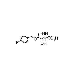 O=C(O)[C@H]1NCC(OCc2ccc(F)cc2)C1O